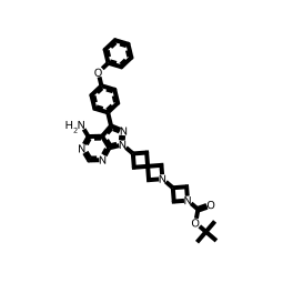 CC(C)(C)OC(=O)N1CC(N2CC3(CC(n4nc(-c5ccc(Oc6ccccc6)cc5)c5c(N)ncnc54)C3)C2)C1